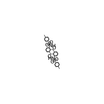 Cc1ccc(S(=O)(=O)Nc2cccc3c2C(=O)c2cccc(NS(=O)(=O)c4ccc(C)cc4)c2C3=O)cc1